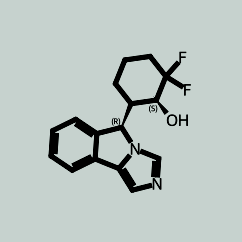 O[C@H]1C([C@@H]2c3ccccc3-c3cncn32)CCCC1(F)F